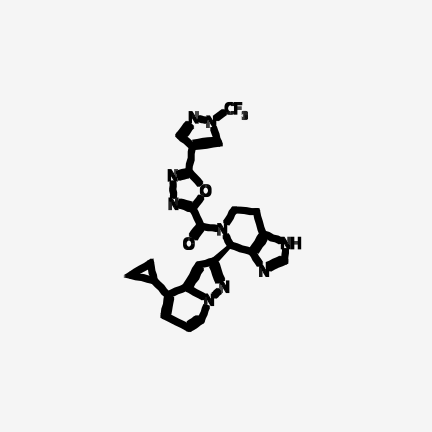 O=C(c1nnc(-c2cnn(C(F)(F)F)c2)o1)N1CCc2[nH]cnc2[C@H]1c1cc2c(C3CC3)cccn2n1